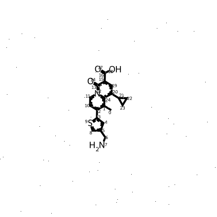 Cc1c(-c2cc(CN)cs2)ccn2c(=O)c(C(=O)O)cc(C3CC3)c12